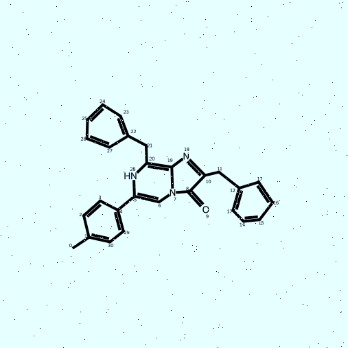 Cc1ccc(-c2cn3c(=O)c(Cc4ccccc4)nc-3c(Cc3ccccc3)[nH]2)cc1